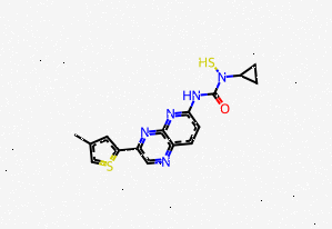 Cc1csc(-c2cnc3ccc(NC(=O)N(S)C4CC4)nc3n2)c1